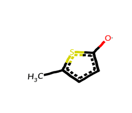 Cc1ccc([O])s1